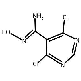 N/C(=N\O)c1c(Cl)ncnc1Cl